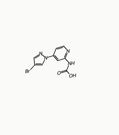 O=C(O)Nc1cc(-n2cc(Br)cn2)ccn1